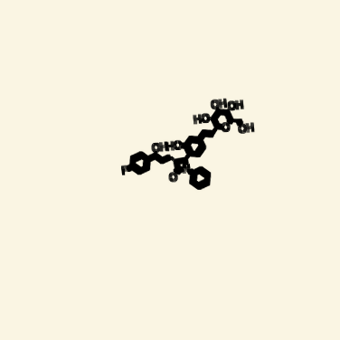 O=C1[C@H](CC[C@H](O)c2ccc(F)cc2)[C@@H](c2ccc(/C=C/[C@@H]3O[C@H](CO)[C@@H](O)[C@H](O)[C@H]3O)cc2O)N1c1ccccc1